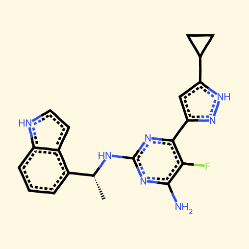 C[C@@H](Nc1nc(N)c(F)c(-c2cc(C3CC3)[nH]n2)n1)c1cccc2[nH]ccc12